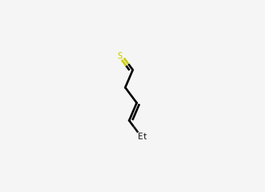 CCC=CCC=S